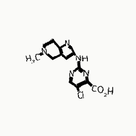 CN1CCc2ncc(Nc3ncc(Cl)c(C(=O)O)n3)cc2C1